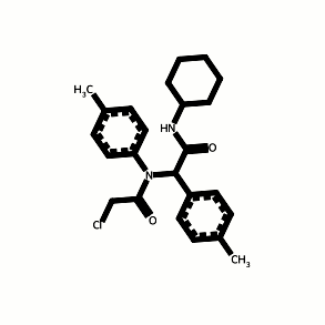 Cc1ccc(C(C(=O)NC2CCCCC2)N(C(=O)CCl)c2ccc(C)cc2)cc1